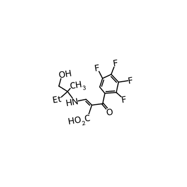 CCC(C)(CO)NC=C(C(=O)O)C(=O)c1cc(F)c(F)c(F)c1F